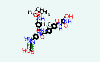 Cc1cc(C(=O)N[C@@H]2C[C@@H](CO)NC2=O)ccc1-c1ccc(C[C@H](NC(=O)[C@H]2CC[C@H](CNC(=O)OC(C)(C)C)CC2)C(=O)Nc2ccc(-c3nc(C(F)(F)C(F)(F)C(=O)O)n[nH]3)cc2)cc1